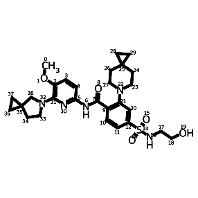 COc1ccc(NC(=O)c2ccc(S(=O)(=O)NCCO)cc2N2CCC3(CC2)CC3)nc1N1CCC2(CC2)C1